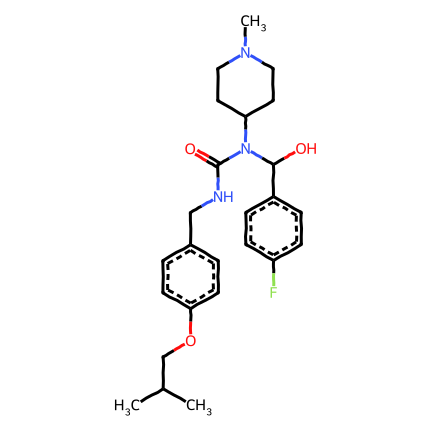 CC(C)COc1ccc(CNC(=O)N(C2CCN(C)CC2)C(O)c2ccc(F)cc2)cc1